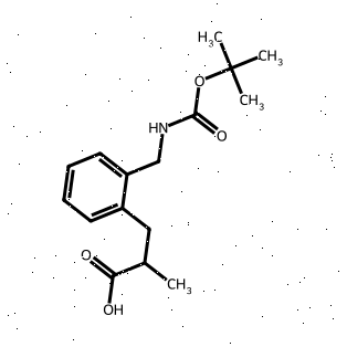 CC(Cc1ccccc1CNC(=O)OC(C)(C)C)C(=O)O